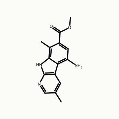 COC(=O)c1cc(N)c2c([nH]c3ncc(C)cc32)c1C